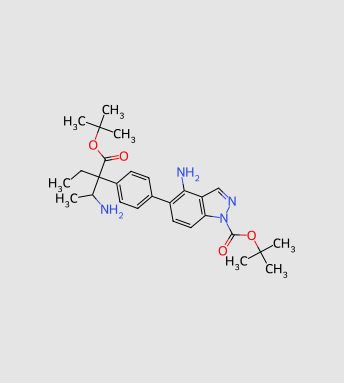 CCC(C(=O)OC(C)(C)C)(c1ccc(-c2ccc3c(cnn3C(=O)OC(C)(C)C)c2N)cc1)C(C)N